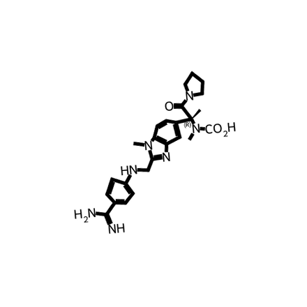 CN(C(=O)O)[C@@](C)(C(=O)N1CCCC1)c1ccc2c(c1)nc(CNc1ccc(C(=N)N)cc1)n2C